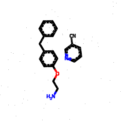 N#Cc1cccnc1.NCCOc1ccc(Cc2ccccc2)cc1